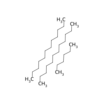 CCCCCC.CCCCCCCCCCCC.CCCCCCCCCCCC